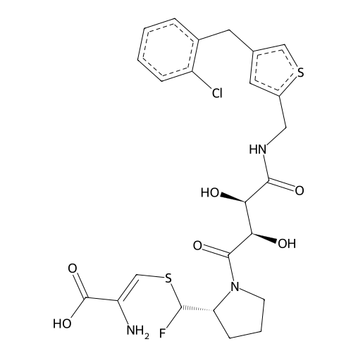 N/C(=C\SC(F)[C@H]1CCCN1C(=O)[C@H](O)[C@@H](O)C(=O)NCc1cc(Cc2ccccc2Cl)cs1)C(=O)O